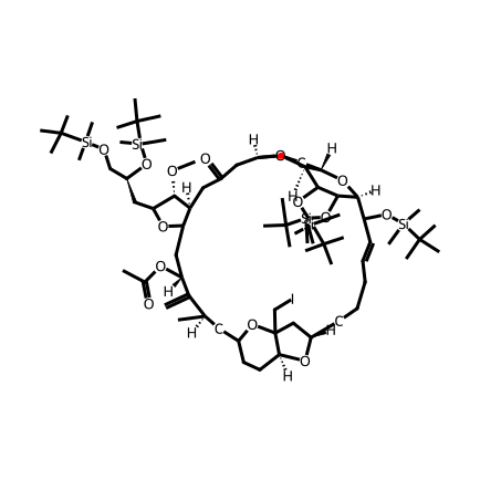 C=C1[C@H](C)CC2CC[C@@H]3O[C@@H](CCC/C=C/C(O[Si](C)(C)C(C)(C)C)[C@@H]4O[C@H]5CC[C@H](CC(=O)C[C@H]6C(C[C@H]1OC(C)=O)OC(C[C@@H](CO[Si](C)(C)C(C)(C)C)O[Si](C)(C)C(C)(C)C)[C@@H]6OC)O[C@@H]5C(O[Si](C)(C)C(C)(C)C)C4O[Si](C)(C)C(C)(C)C)CC3(CI)O2